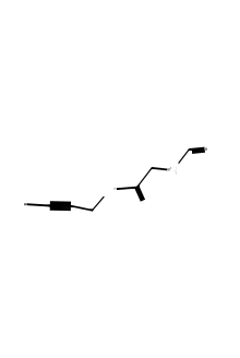 O=CNCC(=O)OCC#CI